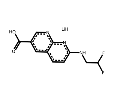 O=C(O)c1cnc2nc(NCC(F)F)ccc2c1.[LiH]